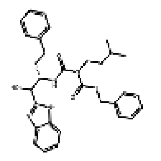 CC(C)CCN(C(=O)N[C@@H](CCc1ccccc1)C(O)c1nc2ccccc2[nH]1)C(=O)OCc1ccccc1